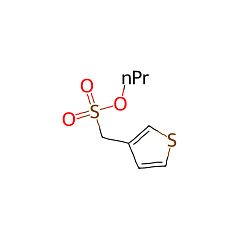 CCCOS(=O)(=O)Cc1ccsc1